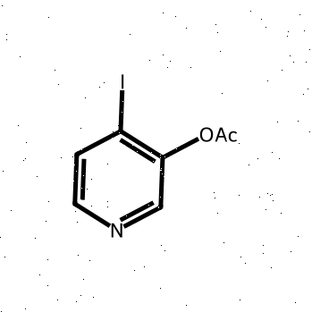 CC(=O)Oc1cnccc1I